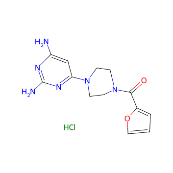 Cl.Nc1cc(N2CCN(C(=O)c3ccco3)CC2)nc(N)n1